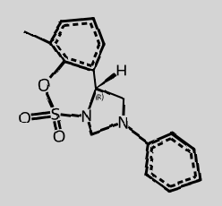 Cc1cccc2c1OS(=O)(=O)N1CN(c3ccccc3)C[C@@H]21